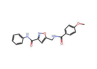 COc1ccc(C(=O)NCc2cc(C(=O)Nc3ccccc3)no2)cc1